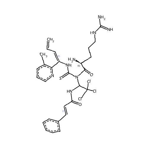 C=C/C=C(/NC(=S)N(C(=O)[C@@H](N)CCCNC(=N)N)C(NC(=O)/C=C/c1ccccc1)C(Cl)(Cl)Cl)c1ncccc1C